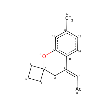 CC(=O)/C=C1\CC2(CCC2)Oc2cc(C(F)(F)F)ccc21